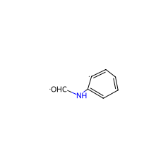 O=[C]Nc1[c]cccc1